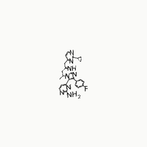 CC(CC(=N)Cc1ccnc(C2CC2)n1)n1cnc(-c2ccc(F)cc2)c1-c1ccnc(N)n1